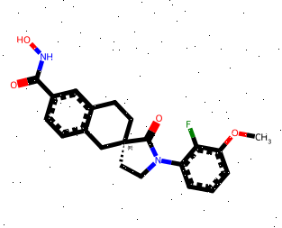 COc1cccc(N2CC[C@]3(CCc4cc(C(=O)NO)ccc4C3)C2=O)c1F